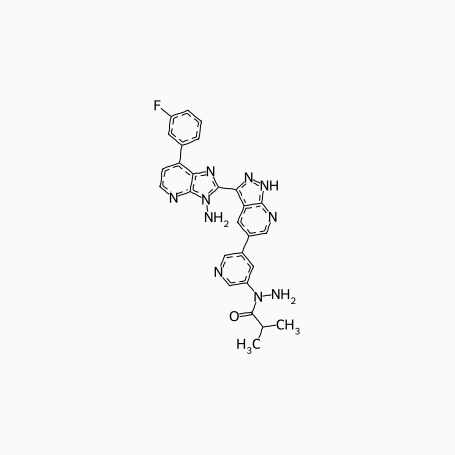 CC(C)C(=O)N(N)c1cncc(-c2cnc3[nH]nc(-c4nc5c(-c6cccc(F)c6)ccnc5n4N)c3c2)c1